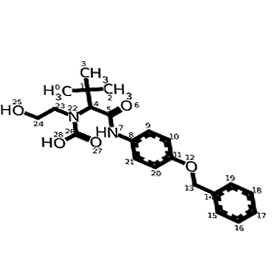 CC(C)(C)C(C(=O)Nc1ccc(OCc2ccccc2)cc1)N(CCO)C(=O)O